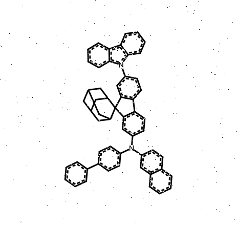 c1ccc(-c2ccc(N(c3ccc4c(c3)C3(c5cc(-n6c7ccccc7c7ccccc76)ccc5-4)C4CC5CC(C4)CC3C5)c3ccc4ccccc4c3)cc2)cc1